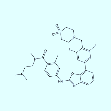 Cc1cc(Nc2nc3cccc(-c4cc(F)c(CN5CCS(=O)(=O)CC5)c(F)c4)c3o2)ccc1C(=O)N(C)CCN(C)C